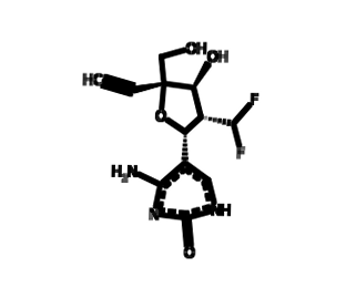 C#C[C@]1(CO)O[C@@H](c2c[nH]c(=O)nc2N)[C@@H](C(F)F)[C@@H]1O